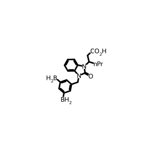 Bc1cc(B)cc(Cn2c(=O)n(C(CCC)CC(=O)O)c3ccccc32)c1